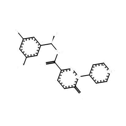 C[C@@H](NC(=O)c1ccc(=O)n(-c2ccncc2)n1)c1cc(N)cc(C(F)(F)F)c1